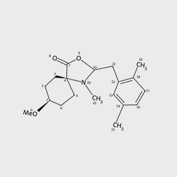 CO[C@H]1CC[C@@]2(CC1)C(=O)OC(Cc1cc(C)ccc1C)N2C